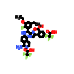 CCOc1cc(CC)cc(C(Nc2ccc3c(N)nccc3c2)c2nc(-c3ccccc3C(=O)O)c[nH]2)c1F.O=C(O)C(F)(F)F.O=C(O)C(F)(F)F